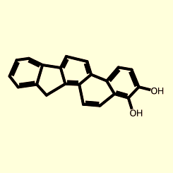 Oc1ccc2c(ccc3c4c(ccc32)-c2ccccc2C4)c1O